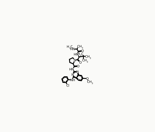 CNC(C)C(=O)NC(C(=O)N1CCCC1C(=O)Nc1nc(Nc2ccccc2Cl)c2ccc(OC)cc2n1)C(C)(C)C